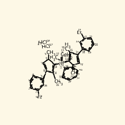 CCc1cccc(C2=CC(C)[C]([Hf]([CH3])(=[GeH2])([C]3=C(C)C(c4cccc(CC)c4)=CC3C)[c]3ccccc3)=C2C)c1.Cl.Cl